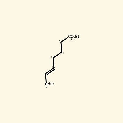 CCCCCCC=CCCCC(=O)OCC